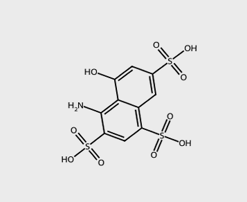 Nc1c(S(=O)(=O)O)cc(S(=O)(=O)O)c2cc(S(=O)(=O)O)cc(O)c12